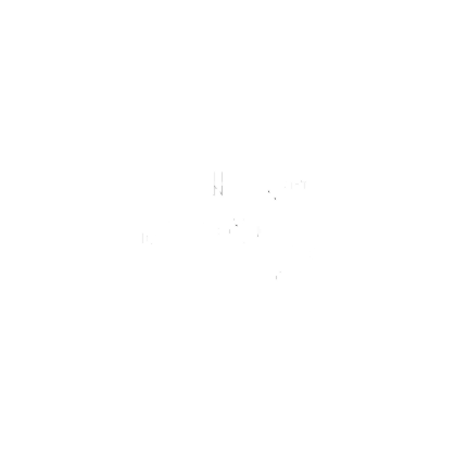 CCCN(CC(=O)Nc1ccc(O)cc1C(=O)O)c1ccc(Cl)c(Cl)c1